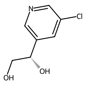 OC[C@@H](O)c1cncc(Cl)c1